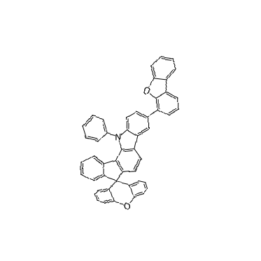 c1ccc(-n2c3ccc(-c4cccc5c4oc4ccccc45)cc3c3ccc4c(c32)-c2ccccc2C42c3ccccc3Oc3ccccc32)cc1